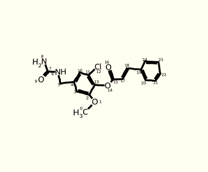 COc1cc(CNC(N)=O)cc(Cl)c1OC(=O)/C=C/c1ccccc1